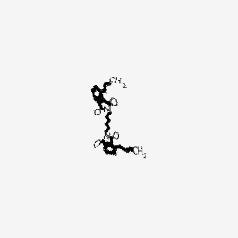 C=CCCC12C=CC(C1)C1C(=O)N(CCCCCCN3C(=O)C4C5C=CC(CCC=C)(C5)C4C3=O)C(=O)C12